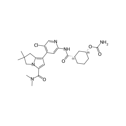 CN(C)C(=O)c1cc(-c2cc(NC(=O)[C@H]3CCC[C@@H](OC(N)=O)C3)ncc2Cl)c2n1CC(C)(C)C2